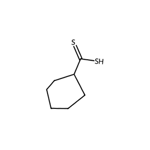 S=C(S)C1CCCCC1